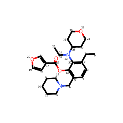 CCc1ccc(CN2CCCCC2)c(OC(=O)c2ccoc2)c1N(CC)C1CCOCC1